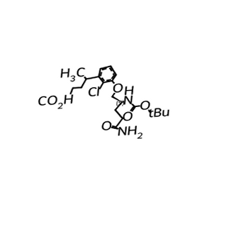 CC(CCC(=O)O)c1cccc(OC[C@H](CCC(N)=O)NC(=O)OC(C)(C)C)c1Cl